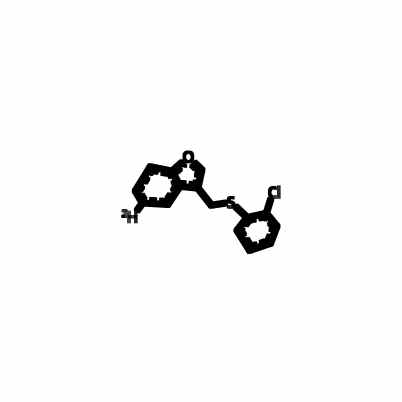 [2H]c1ccc2occ(CSc3ccccc3Cl)c2c1